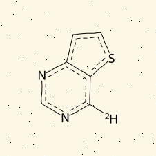 [2H]c1ncnc2ccsc12